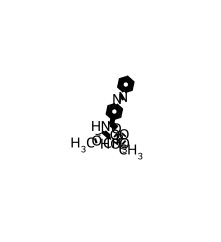 COC[C@H](NC(=O)c1ccc(/N=N/c2ccccc2)cc1)[C@H](C)OP(=O)(O)OC